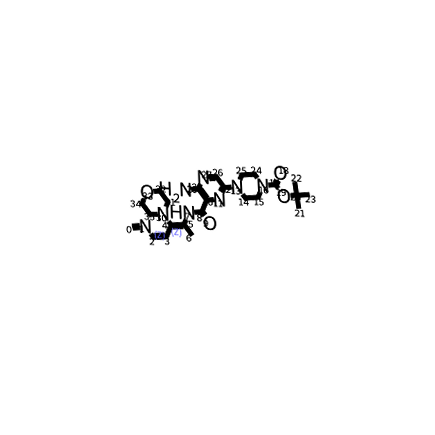 C=N/C=C\C(=C(/C)NC(=O)c1nc(N2CCN(C(=O)OC(C)(C)C)CC2)cnc1N)N1CCOCC1